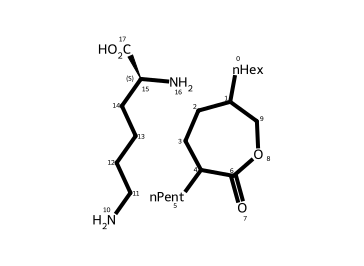 CCCCCCC1CCC(CCCCC)C(=O)OC1.NCCCC[C@H](N)C(=O)O